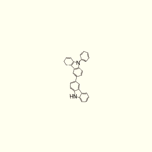 C1=Cc2c(c3cc(-c4ccc5[nH]c6ccccc6c5c4)ccc3n2-c2ccccc2)CC1